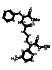 COC(=O)[C@H](Cc1ccccc1)NC(=O)CCCN(C(=O)OC(C)(C)C)c1cc(C)ccn1